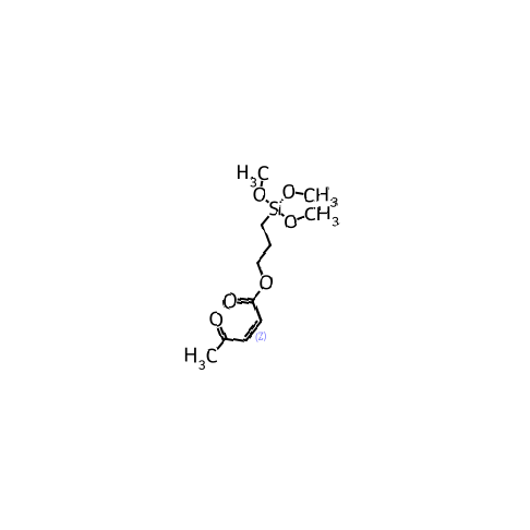 CO[Si](CCCOC(=O)/C=C\C(C)=O)(OC)OC